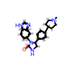 CN1CCC(c2ccc(C3CNC(=O)N3c3ccc4[nH]cnc4c3)cc2)CC1